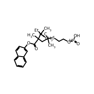 CCC(C)(C)C(C)(CC(C)(C)SCCO[PH](=O)O)C(=O)Oc1ccc2ccccc2c1